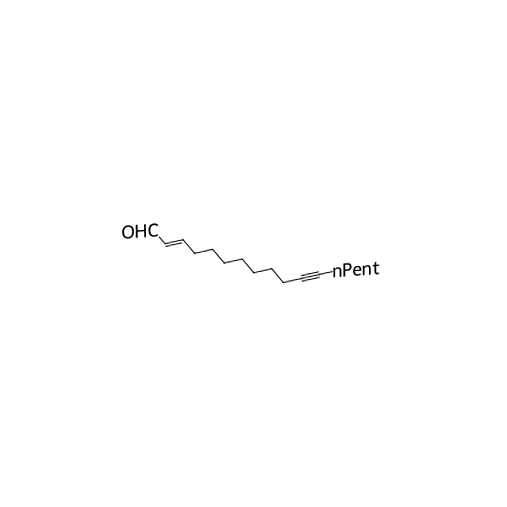 CCCCCC#CCCCCCCCC=CC=O